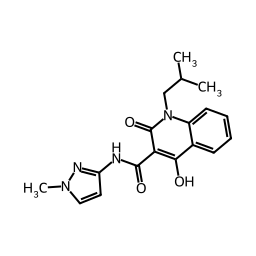 CC(C)Cn1c(=O)c(C(=O)Nc2ccn(C)n2)c(O)c2ccccc21